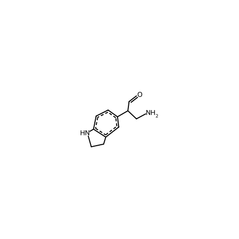 NCC(C=O)c1ccc2c(c1)CCN2